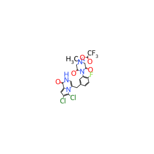 C[N+]1(OC(=O)C(F)(F)F)CC(=O)N(c2cc(Cc3c[nH]c(=O)c4cc(Cl)c(Cl)n34)ccc2F)C(=O)C1